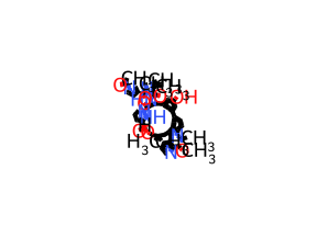 CCn1c(-c2cccnc2COC)c2c3cc(ccc31)-c1cc(O)cc(c1)C[C@H](NC(=O)C(C(C)C)N(C)C(=O)[C@H]1CCN(C(C)=O)C1)C(=O)N1CCC[C@H](N1)C(=O)OCC(C)(C)C2